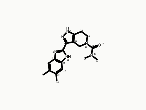 Cc1cc2nc(-c3n[nH]c4c3CN(C(=O)N(C)C)CC4)[nH]c2cc1C